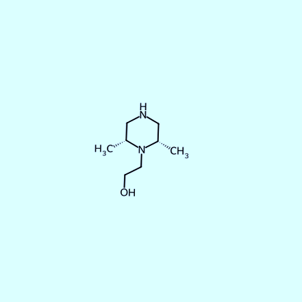 C[C@@H]1CNC[C@H](C)N1CCO